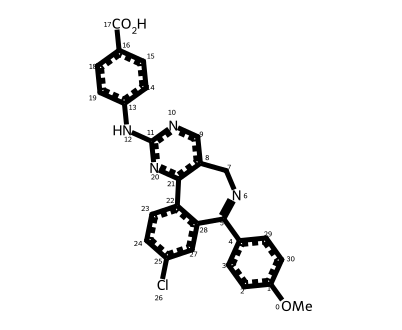 COc1ccc(C2=NCc3cnc(Nc4ccc(C(=O)O)cc4)nc3-c3ccc(Cl)cc32)cc1